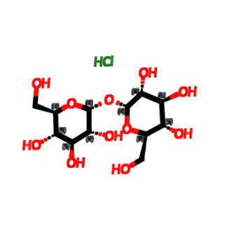 Cl.OC[C@H]1O[C@H](O[C@H]2O[C@H](CO)[C@@H](O)[C@H](O)[C@H]2O)[C@H](O)[C@@H](O)[C@@H]1O